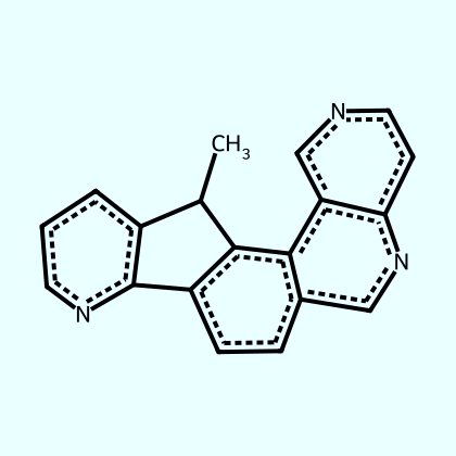 CC1c2cccnc2-c2ccc3cnc4ccncc4c3c21